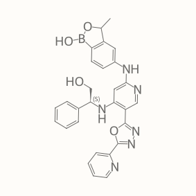 CC1OB(O)c2ccc(Nc3cc(N[C@H](CO)c4ccccc4)c(-c4nnc(-c5ccccn5)o4)cn3)cc21